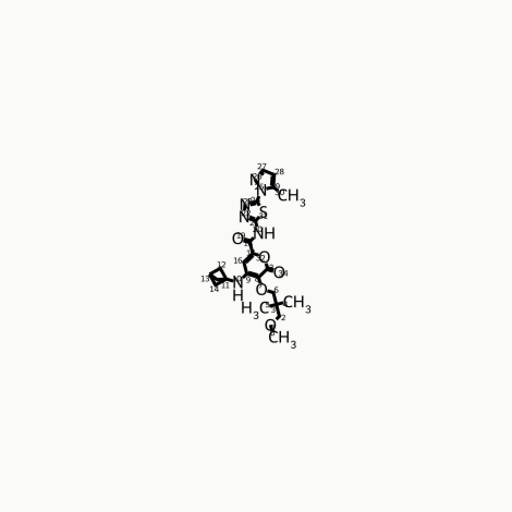 COCC(C)(C)COc1c(NC23CC(C2)C3)cc(C(=O)Nc2nnc(-n3nccc3C)s2)oc1=O